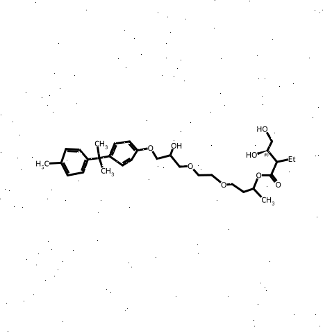 CCC(C(=O)OC(C)CCOCCOCC(O)COc1ccc(C(C)(C)c2ccc(C)cc2)cc1)[C@@H](O)CO